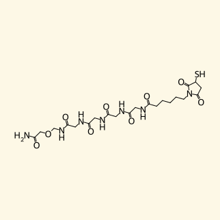 NC(=O)COCNC(=O)CNC(=O)CNC(=O)CNC(=O)CNC(=O)CCCCCN1C(=O)CC(S)C1=O